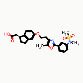 Cc1oc(-c2cccc(N(C)S(C)(=O)=O)c2)nc1CCOc1ccc2c(c1)CC[C@H]2CC(=O)O